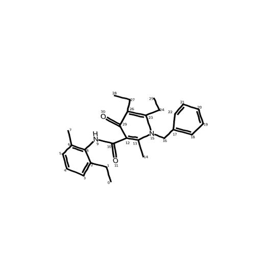 CCc1cccc(C)c1NC(=O)c1c(C)n(Cc2ccccc2)c(CC)c(CC)c1=O